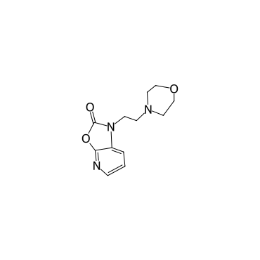 O=c1oc2ncccc2n1CCN1CCOCC1